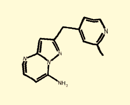 Cc1cc(Cc2cc3nccc(N)n3n2)ccn1